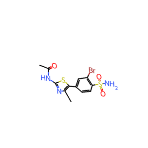 CC(=O)Nc1nc(C)c(-c2ccc(S(N)(=O)=O)c(Br)c2)s1